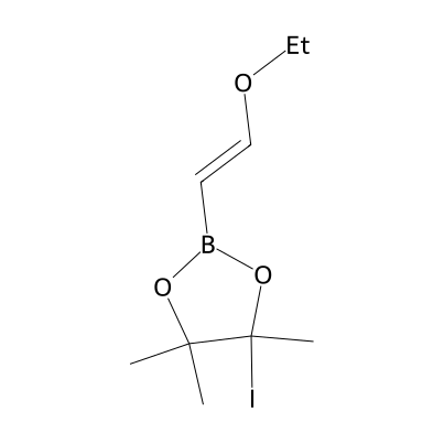 CCO/C=C/B1OC(C)(C)C(C)(I)O1